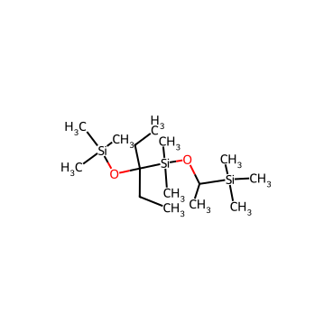 CCC(CC)(O[Si](C)(C)C)[Si](C)(C)OC(C)[Si](C)(C)C